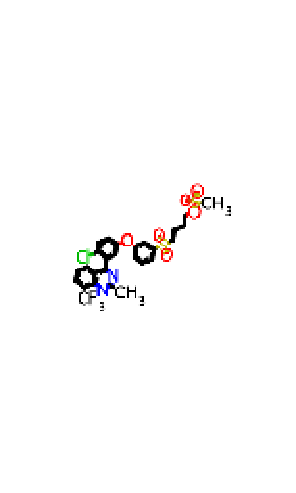 Cc1nc(-c2cc(Oc3cccc(S(=O)(=O)CCCCOS(C)(=O)=O)c3)ccc2Cl)c2cccc(C(F)(F)F)c2n1